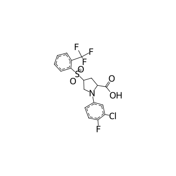 O=C(O)C1CC(S(=O)(=O)c2ccccc2C(F)(F)F)CN1c1ccc(F)c(Cl)c1